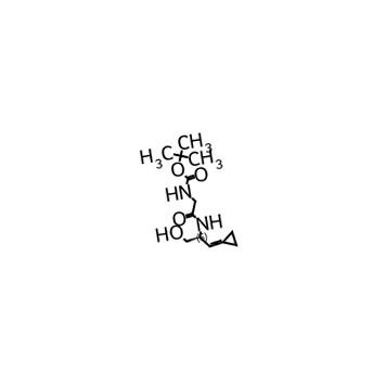 CC(C)(C)OC(=O)NCC(=O)N[C@@H](C=C1CC1)CO